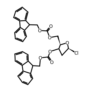 O=C(OCC1c2ccccc2-c2ccccc21)OC[C@H]1O[C@@H](Cl)CC1OC(=O)OCC1c2ccccc2-c2ccccc21